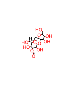 CC1O[C@@H](CO)[C@@H](O)[C@H](O)[C@@H]1O[C@H]1O[C@H](CO)[C@@H](O)[C@H](OC=O)[C@@H]1O